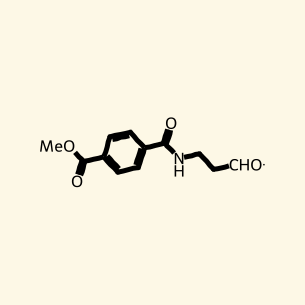 COC(=O)c1ccc(C(=O)NCC[C]=O)cc1